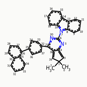 CC1(C)C=c2nc(-n3c4ccccc4c4ccccc43)nc(-c3ccc(-c4cccc5ccccc45)cc3)c2=C1